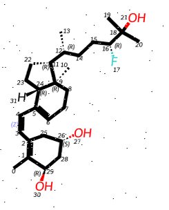 CC1=C(/C=C\C2=CCC[C@]3(C)[C@@H]([C@H](C)CC[C@@H](F)C(C)(C)O)CC[C@@H]23)C[C@H](O)C[C@H]1O